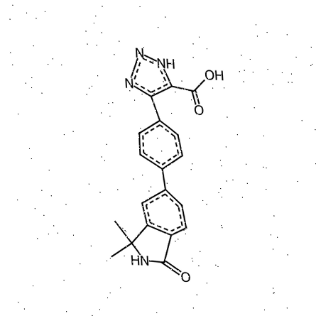 CC1(C)NC(=O)c2ccc(-c3ccc(-c4nn[nH]c4C(=O)O)cc3)cc21